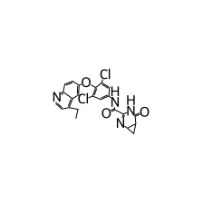 CCc1ccnc2ccc(Oc3c(Cl)cc(NC(=O)C4=NC5CC5C(=O)N4)cc3Cl)cc12